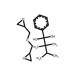 C(OCC1CO1)C1CO1.CC(C)C(C)(C)C(O)(O)c1ccccc1